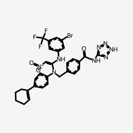 O=C(Nc1nn[nH]n1)c1ccc(CN(/C(=C\[N+](=O)[O-])Nc2cc(Br)cc(C(F)(F)F)c2)c2ccc(C3=CCCCC3)cc2)cc1